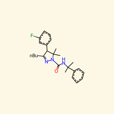 CCCCC1=NN(C(=O)NC(C)(C)c2ccccc2)C(C)(C)C1c1cccc(F)c1